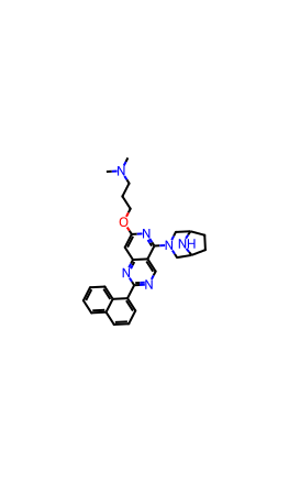 CN(C)CCCOc1cc2nc(-c3cccc4ccccc34)ncc2c(N2CC3CCC(C2)N3)n1